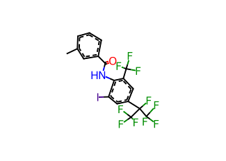 Cc1cccc(C(=O)Nc2c(I)cc(C(F)(C(F)(F)F)C(F)(F)F)cc2C(F)(F)F)c1